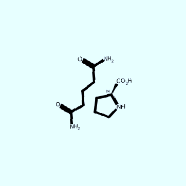 NC(=O)CCCC(N)=O.O=C(O)[C@@H]1CCCN1